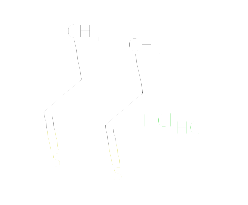 CCC=S.CCC=S.Cl.Cl